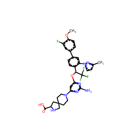 COc1ccc(-c2ccc(C(Oc3cc(N4CCC5(CC4)CNC(C(=O)O)C5)nc(N)n3)C(F)(F)F)c(-n3ccc(C)n3)c2)cc1F